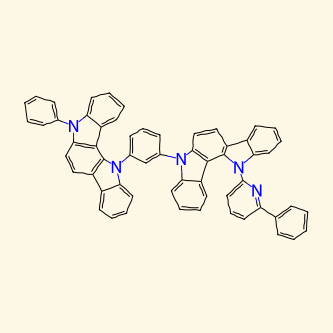 c1ccc(-c2cccc(-n3c4ccccc4c4ccc5c(c6ccccc6n5-c5cccc(-n6c7ccccc7c7ccc8c(c9ccccc9n8-c8ccccc8)c76)c5)c43)n2)cc1